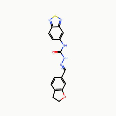 O=C(N/N=C/c1ccc2c(c1)OCC2)Nc1ccc2nsnc2c1